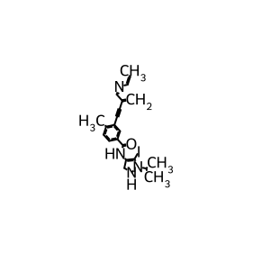 C=C(C#Cc1cc(C(=O)NC2=C(I)N(C(C)C)NC2)ccc1C)/C=N\C=C/C